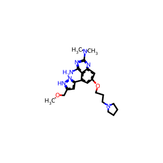 COCc1cc(-c2cc(OCCCN3CCCC3)cc3nc(N(C)C)nc(N)c23)n[nH]1